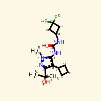 Cn1nc(C(C)(C)O)c(C2CCC2)c1NC(=O)NC1CC(F)(F)C1